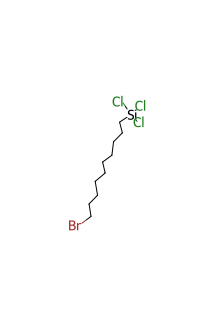 Cl[Si](Cl)(Cl)CCCCCCCCCCBr